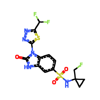 O=c1[nH]c2cc(S(=O)(=O)NC3(CF)CC3)ccc2n1-c1nnc(C(F)F)s1